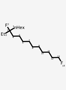 [CH2]CC(F)(CCCCCC)CCCCCCCCCCF